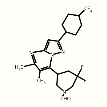 Cc1nc2cc(C3CCC(C(F)(F)F)CC3)nn2c(C2CN(C=O)CC(F)(F)C2)c1C